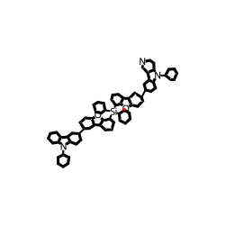 c1ccc(-n2c3ccccc3c3cc(-c4ccc5oc6c([Si](c7ccccc7)(c7ccccc7)c7cccc8c7oc7ccc(-c9ccc%10c(c9)c9cnccc9n%10-c9ccccc9)cc78)cccc6c5c4)ccc32)cc1